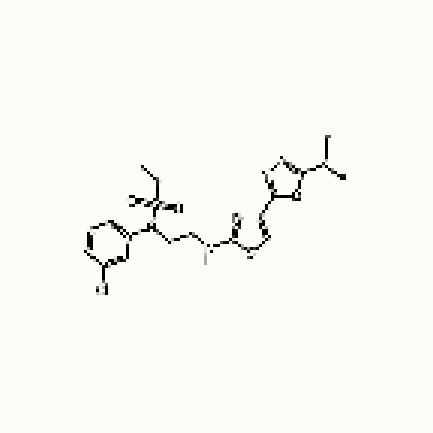 CCS(=O)(=O)N(CCNc1nc(-c2nnc(C(F)F)o2)cs1)c1cccc(Cl)c1